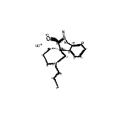 CCCN1CCC[C@]2(C1)C(=O)Nc1ccccc12.Cl